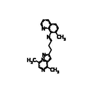 Cc1ccc2cccnc2c1/N=C/CCc1cc2c(C)ncc(C)n2n1